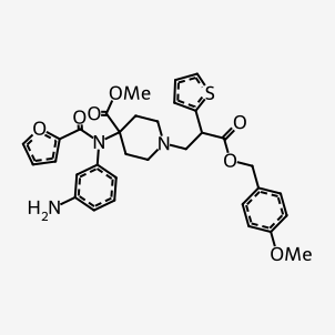 COC(=O)C1(N(C(=O)c2ccco2)c2cccc(N)c2)CCN(CC(C(=O)OCc2ccc(OC)cc2)c2cccs2)CC1